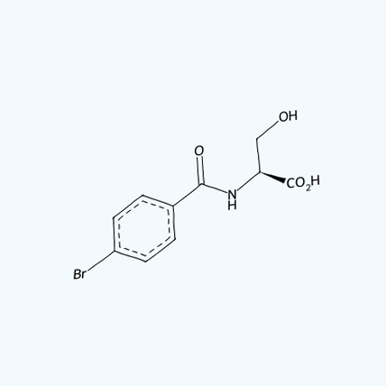 O=C(N[C@@H](CO)C(=O)O)c1ccc(Br)cc1